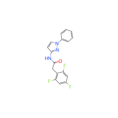 O=C(Cc1c(F)cc(F)cc1F)Nc1ccn(-c2ccccc2)n1